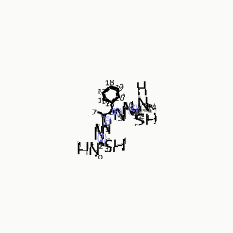 CN/C(S)=N/N=C(C)/C(=N/N=C(\S)NC)c1ccccc1